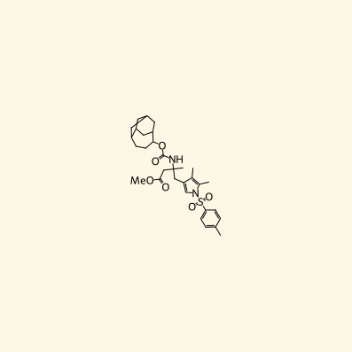 COC(=O)CC(C)(Cc1cn(S(=O)(=O)c2ccc(C)cc2)c(C)c1C)NC(=O)OC1CCC2CC3CC2CC1C3